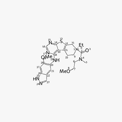 CC[C@]1(C(=O)N(C)CCOC)CCc2c(sc3ncnc(Nc4cc5cn[nH]c5cc4OC)c23)C1